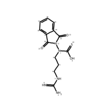 N=C(N)NCCCN(C(O)=S)N1C(=O)c2ccccc2C1=O